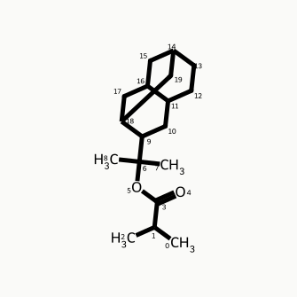 CC(C)C(=O)OC(C)(C)C1CC2CCC3CC2CC1C3